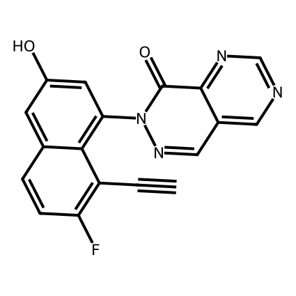 C#Cc1c(F)ccc2cc(O)cc(-n3ncc4cncnc4c3=O)c12